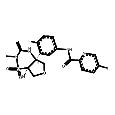 C=C1N[C@@]2(c3cc(NC(=O)c4ccc(F)cn4)ccc3F)COC[C@H]2S(=O)(=O)N1C